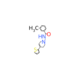 Cc1cccc(C(=O)NCN2CC=C(c3cccs3)CC2)c1